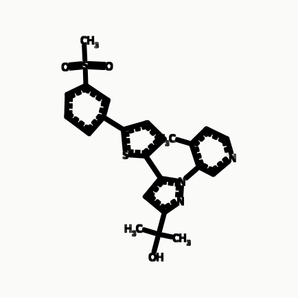 Cc1ccncc1-n1nc(C(C)(C)O)cc1-c1ccc(-c2cccc(S(C)(=O)=O)c2)s1